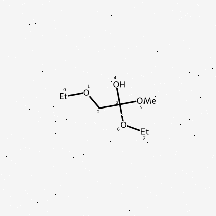 CCOCC(O)(OC)OCC